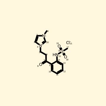 Cn1cc[n+](CCC(=O)c2ccccc2NS(C)(=O)=O)c1.[Cl-]